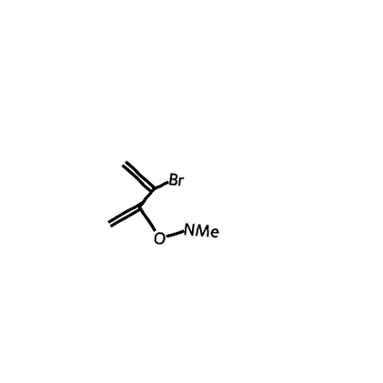 C=C(Br)C(=C)ONC